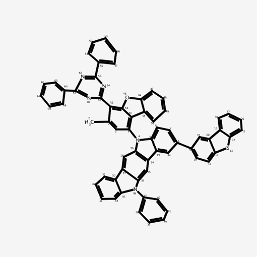 Cc1cc(-n2c3ccc(-c4ccc5sc6ccccc6c5c4)cc3c3cc4c(cc32)c2ccccc2n4-c2ccccc2)c2c(oc3ccccc32)c1-c1nc(-c2ccccc2)nc(-c2ccccc2)n1